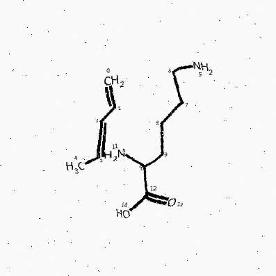 C=CC=CC.NCCCCC(N)C(=O)O